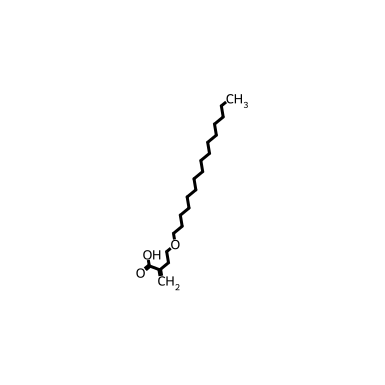 C=C(CCOCCCCCCCCCCCCCCCC)C(=O)O